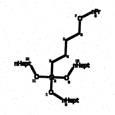 CCCCCCCO[Si](CCCCOCCC)(OCCCCCCC)OCCCCCCC